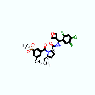 CC[C@@H]1CC[C@H](C(=O)NC(c2cc(F)c(Cl)cc2F)C2COC2)N1C(=O)c1cc(C)cc(S(C)(=O)=O)c1